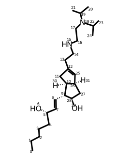 CCCCC[C@H](O)/C=C/[C@@H]1[C@H]2CC(CCNCCN(C(C)C)C(C)C)=C[C@H]2C[C@H]1O